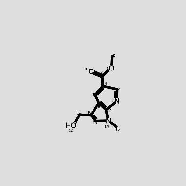 COC(=O)c1cnc2c(c1)c(CO)cn2C